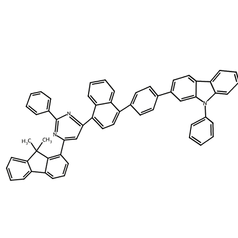 CC1(C)c2ccccc2-c2cccc(-c3cc(-c4ccc(-c5ccc(-c6ccc7c8ccccc8n(-c8ccccc8)c7c6)cc5)c5ccccc45)nc(-c4ccccc4)n3)c21